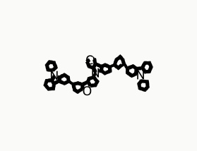 c1ccc(-n2c3ccccc3c3cc(-c4cccc(-c5ccc6c(c5)c5ccccc5n6-c5ccc6oc7ccc(-c8ccc9c(c8)c8ccccc8n9-c8ccccc8)cc7c6c5)c4)ccc32)cc1